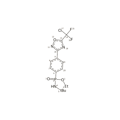 CCOP(=O)(NC(C)(C)C)c1ccc(-c2noc(C(F)(F)Cl)n2)cc1